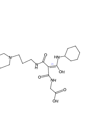 O=C(O)CNC(=O)/C(C(=O)NCCCN1CCOCC1)=C(\O)NC1CCCCC1